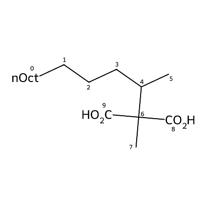 CCCCCCCCCCCC(C)C(C)(C(=O)O)C(=O)O